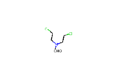 O=[C]N(CCCl)CCCl